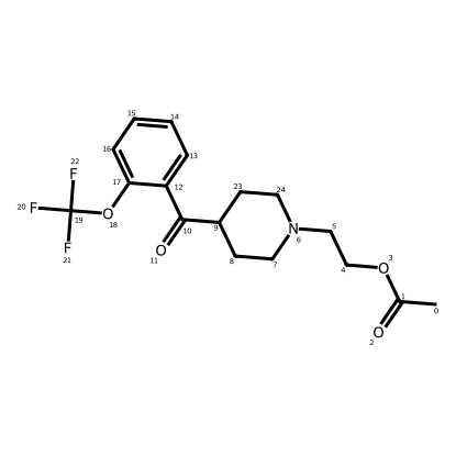 CC(=O)OCCN1CCC(C(=O)c2ccccc2OC(F)(F)F)CC1